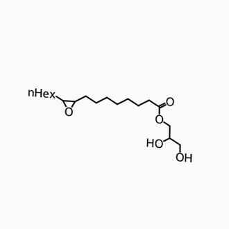 CCCCCCC1OC1CCCCCCCC(=O)OCC(O)CO